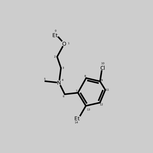 CCOCCN(C)Cc1cc(Cl)ccc1CC